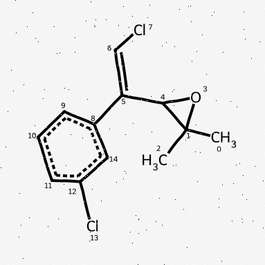 CC1(C)OC1C(=CCl)c1cccc(Cl)c1